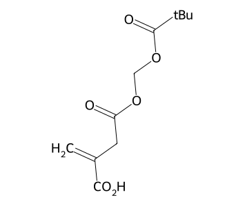 C=C(CC(=O)OCOC(=O)C(C)(C)C)C(=O)O